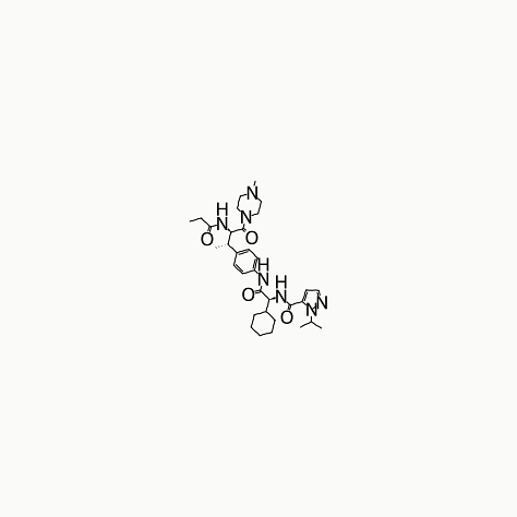 CCC(=O)N[C@@H](C(=O)N1CCN(C)CC1)[C@@H](C)c1ccc(NC(=O)[C@@H](NC(=O)c2ccnn2C(C)C)C2CCCCC2)cc1